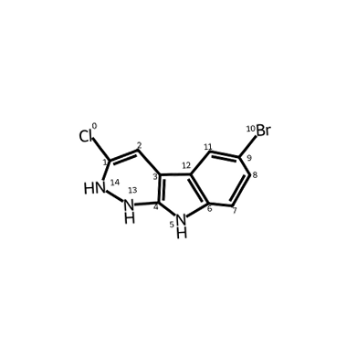 ClC1=Cc2c([nH]c3ccc(Br)cc23)NN1